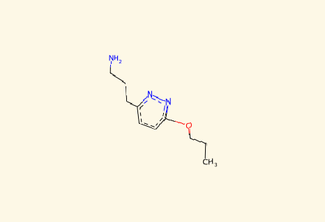 CCCOc1ccc(CCCN)nn1